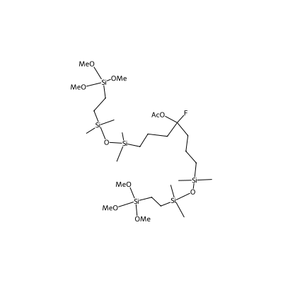 CO[Si](CC[Si](C)(C)O[Si](C)(C)CCCC(F)(CCC[Si](C)(C)O[Si](C)(C)CC[Si](OC)(OC)OC)OC(C)=O)(OC)OC